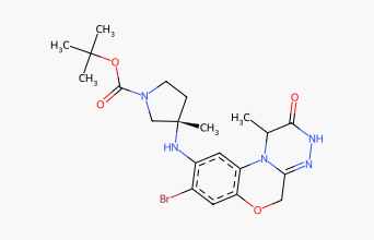 CC1C(=O)NN=C2COc3cc(Br)c(N[C@@]4(C)CCN(C(=O)OC(C)(C)C)C4)cc3N21